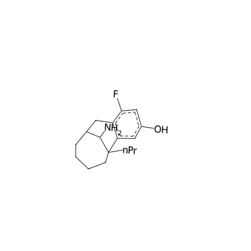 CCCC12CCCCC(Cc3c(F)cc(O)cc31)C2N